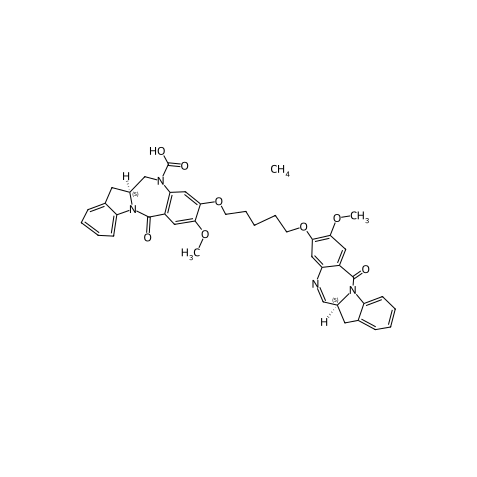 C.COc1cc2c(cc1OCCCCCOc1cc3c(cc1OC)C(=O)N1c4ccccc4C[C@H]1CN3C(=O)O)N=C[C@@H]1Cc3ccccc3N1C2=O